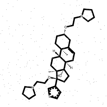 C[C@]12CC[C@H]3[C@@H](CC=C4C[C@@H](OCCN5CCCC5)CC[C@@]43C)[C@@]1(O)CC[C@]2(OCCN1CCCC1)c1ccsc1